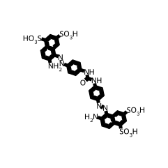 Nc1ccc2c(S(=O)(=O)O)cc(S(=O)(=O)O)cc2c1/N=N/c1ccc(NC(=O)Nc2ccc(/N=N/c3c(N)ccc4c(S(=O)(=O)O)cc(S(=O)(=O)O)cc34)cc2)cc1